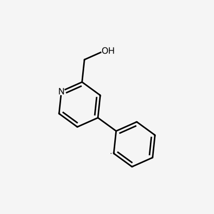 OCc1cc(-c2[c]cccc2)ccn1